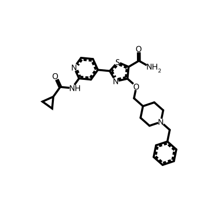 NC(=O)c1sc(-c2ccnc(NC(=O)C3CC3)c2)nc1OCC1CCN(Cc2ccccc2)CC1